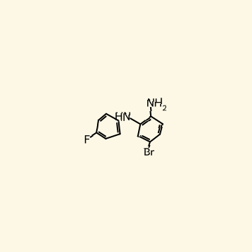 Nc1ccc(Br)cc1Nc1ccc(F)cc1